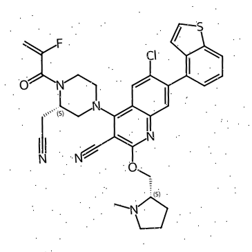 C=C(F)C(=O)N1CCN(c2c(C#N)c(OC[C@@H]3CCCN3C)nc3cc(-c4cccc5sccc45)c(Cl)cc23)C[C@@H]1CC#N